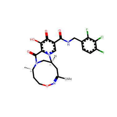 CO/C1=N/OCC[C@H](C)N2C[C@H](C1)n1cc(C(=O)NCc3ccc(F)c(Cl)c3F)c(=O)c(O)c1C2=O